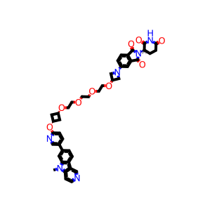 Cn1c2ccncc2c2ccc(-c3ccc(O[C@H]4C[C@H](OCCOCCOCCOC5CN(c6ccc7c(c6)C(=O)N([C@@H]6CCC(=O)NC6=O)C7=O)C5)C4)nc3)cc21